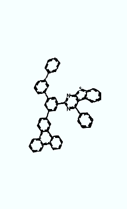 c1ccc(-c2cccc(-c3cc(-c4ccc5c6ccccc6c6ccccc6c5c4)cc(-c4nc(-c5ccccc5)c5c(n4)sc4ccccc45)c3)c2)cc1